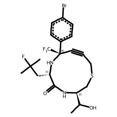 CC(O)[C@@H]1CSCC#C[C@](c2ccc(Br)cc2)(C(F)(F)F)N[C@@H](CC(C)(C)F)C(=O)N1